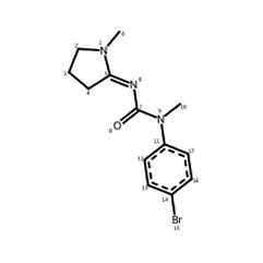 CN1CCCC1=NC(=O)N(C)c1ccc(Br)cc1